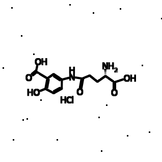 Cl.N[C@@H](CCC(=O)Nc1ccc(O)c(C(=O)O)c1)C(=O)O